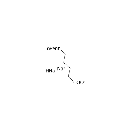 CCCCCCCCCC(=O)[O-].[Na+].[NaH]